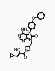 N#C/C(=C\C1CC1)C(=O)N1CC(Cn2c(=O)n(-c3ccc(Oc4ccccc4)cc3)c3c(N)ncnc32)C1